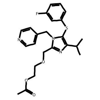 CC(=O)OCCOCc1nc(C(C)C)c(Sc2cccc(F)c2)n1Cc1ccncc1